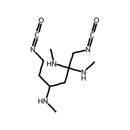 CNC(CCN=C=O)CC(CN=C=O)(NC)NC